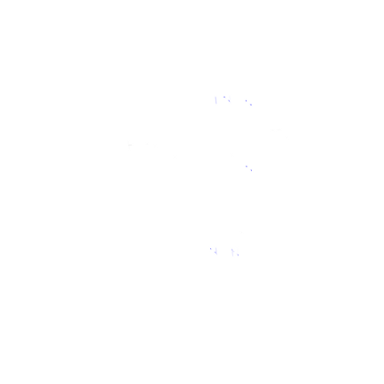 CCOC(=O)C1CCc2c(c(-c3c[nH]nc3C(F)(F)F)nc3ccc4[nH]ncc4c23)C1